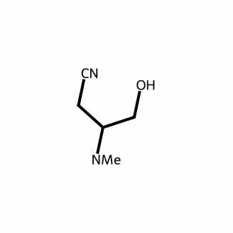 CNC(CO)CC#N